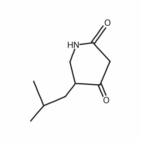 CC(C)CC1CNC(=O)CC1=O